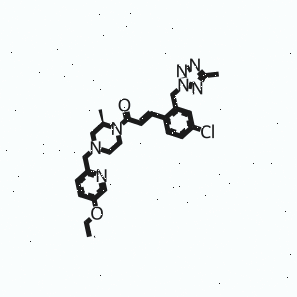 [CH2]COc1ccc(CN2CCN(C(=O)/C=C/c3ccc(Cl)cc3Cn3nnc(C)n3)[C@H](C)C2)nc1